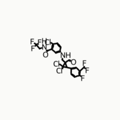 O=CC1(CNc2ccc(Cl)c(C(=O)NCC(F)(F)F)c2)C(c2ccc(F)c(C(F)F)c2)C1(Cl)Cl